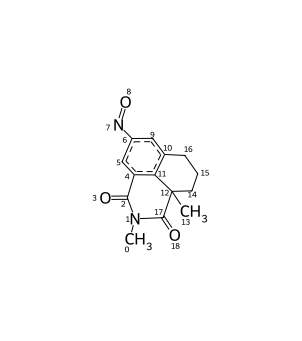 CN1C(=O)c2cc(N=O)cc3c2C(C)(CCC3)C1=O